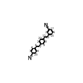 N#Cc1ccc(/C=C/c2ccc(/C=C/c3cccc(C#N)c3)cc2)cc1